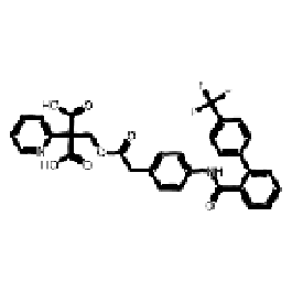 O=C(Cc1ccc(NC(=O)c2ccccc2-c2ccc(C(F)(F)F)cc2)cc1)OCC(C(=O)O)(C(=O)O)c1ccccn1